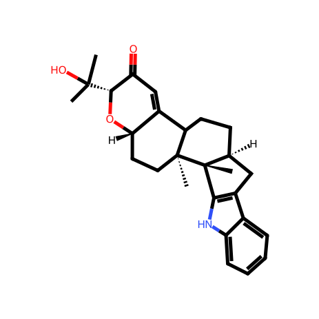 CC(C)(O)[C@H]1O[C@H]2CC[C@@]3(C)C(CC[C@H]4Cc5c([nH]c6ccccc56)[C@@]43C)C2=CC1=O